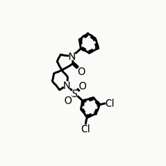 O=C1N(c2ccccc2)CCC12CCCN(S(=O)(=O)c1cc(Cl)cc(Cl)c1)C2